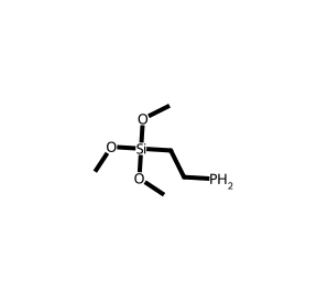 CO[Si](CCP)(OC)OC